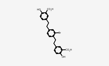 O=C(O)c1cc(CCc2ccc(CCc3ccc(O)c(C(=O)O)c3)c(Br)c2)ccc1O